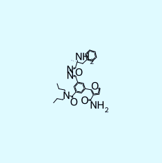 CCCN(CCC)C(=O)c1cc(-c2nnc([C@@](C)(N)Cc3ccccc3)o2)cc(-c2occc2C(N)=O)c1